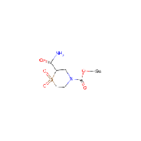 CC(C)(C)OC(=O)N1CCS(=O)(=O)C(C(N)=O)C1